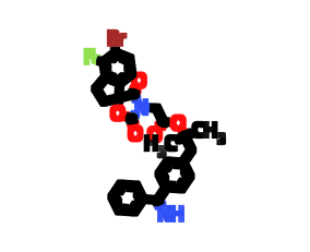 CC(C)(Cc1ccc(C(=N)c2ccccc2)cc1)OC(=O)CN1C(=O)OC2(CCc3c2ccc(Br)c3F)C1=O